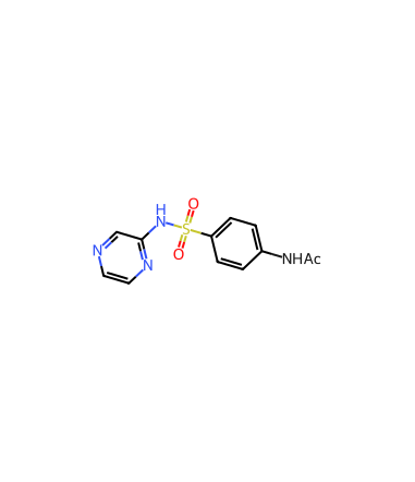 CC(=O)Nc1ccc(S(=O)(=O)Nc2cnccn2)cc1